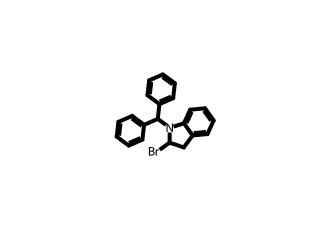 BrC1Cc2ccccc2N1C(c1ccccc1)c1ccccc1